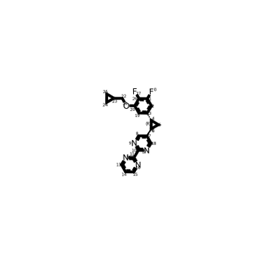 Fc1cc([C@@H]2C[C@H]2c2cnc(-c3ncccn3)nc2)cc(OCC2CC2)c1F